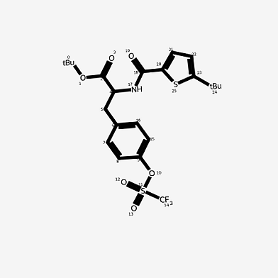 CC(C)(C)OC(=O)C(Cc1ccc(OS(=O)(=O)C(F)(F)F)cc1)NC(=O)c1ccc(C(C)(C)C)s1